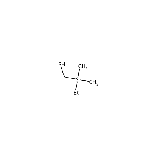 CC[Si](C)(C)CS